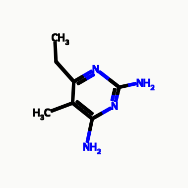 CCc1nc(N)nc(N)c1C